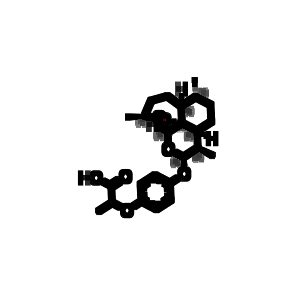 CC(Oc1ccc(O[C@H]2O[C@@H]3O[C@@]4(C)CC[C@H]5[C@H](C)CC[C@@H]([C@H]2C)[C@@]35OO4)cc1)C(=O)O